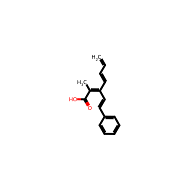 C=CC=CC(C=Cc1ccccc1)=C(C)C(=O)O